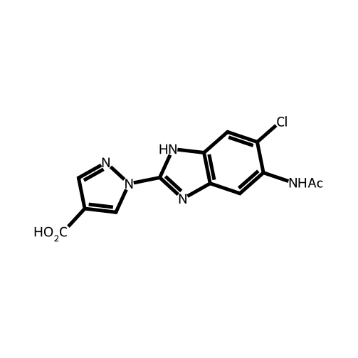 CC(=O)Nc1cc2nc(-n3cc(C(=O)O)cn3)[nH]c2cc1Cl